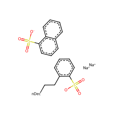 CCCCCCCCCCCCc1ccccc1S(=O)(=O)[O-].O=S(=O)([O-])c1cccc2ccccc12.[Na+].[Na+]